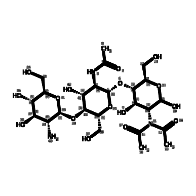 CC(=O)N[C@H]1[C@H](O[C@H]2[C@H](O)[C@@H](N(C(C)=O)C(C)=O)C(O)O[C@@H]2CO)O[C@H](CO)[C@@H](O[C@@H]2O[C@H](CO)[C@@H](O)[C@H](O)[C@H]2N)[C@@H]1O